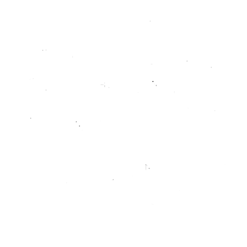 CC12CCCCC1(C)N1c3cc(N(c4ccccc4)c4ccccc4)cc4c3B(c3ccccc3N4c3ccccc3)c3cccc(c31)C2